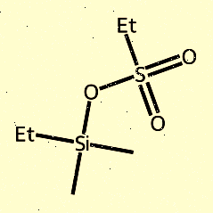 CC[Si](C)(C)OS(=O)(=O)CC